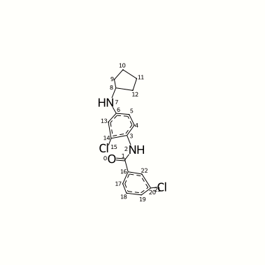 O=C(Nc1ccc(NC2CCCC2)cc1Cl)c1cccc(Cl)c1